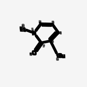 CCn1cccc(C(C)(C)C)c1=O